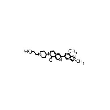 Cc1cc(-c2cc3ccn(C4CCN(CCO)CC4)c(=O)c3cn2)cc2cn(C)nc12